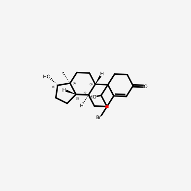 C[C@]12CC[C@H]3[C@@H](CCC4=CC(=O)CCC43C(O)CBr)[C@@H]1CC[C@@H]2O